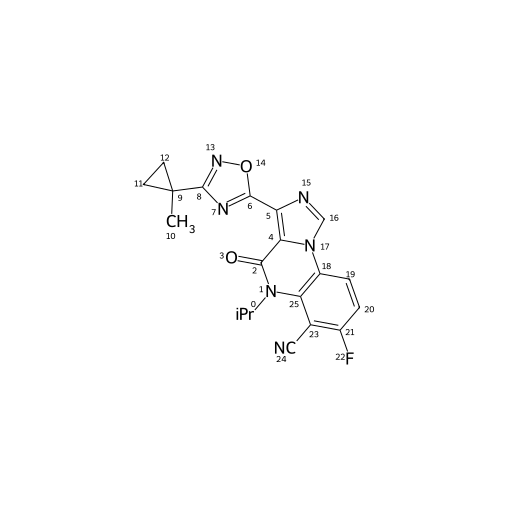 CC(C)n1c(=O)c2c(-c3nc(C4(C)CC4)no3)ncn2c2ccc(F)c(C#N)c21